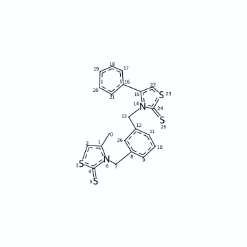 Cc1csc(=S)n1Cc1cccc(Cn2c(-c3ccccc3)csc2=S)c1